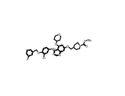 CC(C)(C)OC(=O)N1CCC(COc2cc(OC3CCOCC3)c3c(Nc4ccc(OCc5cccc(F)c5)c(Cl)c4)ncnc3c2)CC1